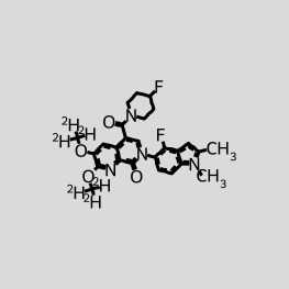 [2H]C([2H])([2H])Oc1cc2c(C(=O)N3CCC(F)CC3)cn(-c3ccc4c(cc(C)n4C)c3F)c(=O)c2nc1OC([2H])([2H])[2H]